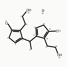 CC(C1=CCC(Cl)=C1CCO)C1=CCC(Cl)=C1CCO.[Zr]